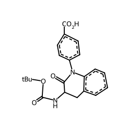 CC(C)(C)OC(=O)NC1Cc2ccccc2N(c2ccc(C(=O)O)cc2)C1=O